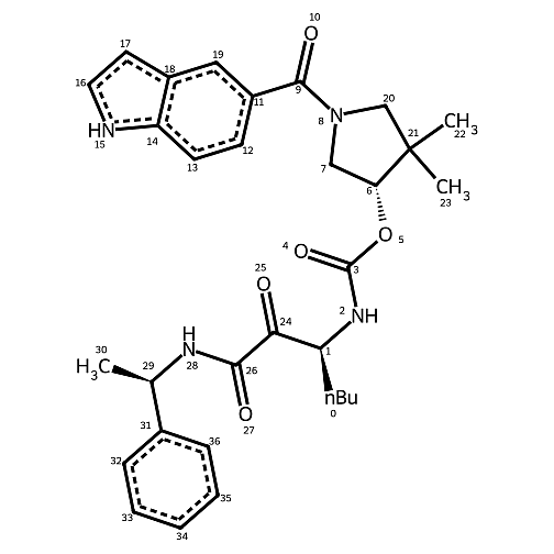 CCCC[C@H](NC(=O)O[C@@H]1CN(C(=O)c2ccc3[nH]ccc3c2)CC1(C)C)C(=O)C(=O)N[C@H](C)c1ccccc1